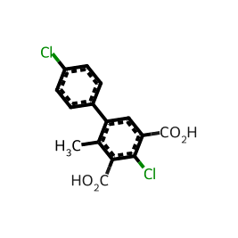 Cc1c(-c2ccc(Cl)cc2)cc(C(=O)O)c(Cl)c1C(=O)O